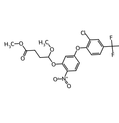 COC(=O)CCC(OC)Oc1cc(Oc2ccc(C(F)(F)F)cc2Cl)ccc1[N+](=O)[O-]